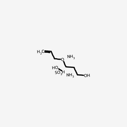 C=CCOCCCO.N.N.O=S(=O)(O)O